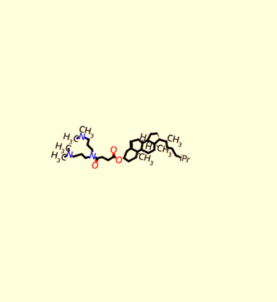 CC(C)CCC[C@@H](C)[C@H]1CC[C@H]2[C@@H]3CC=C4C[C@@H](OC(=O)CCC(=O)N(CCCN(C)C)CCCN(C)C)CC[C@]4(C)C3CC[C@]12C